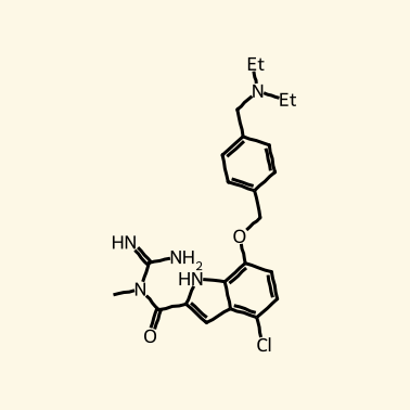 CCN(CC)Cc1ccc(COc2ccc(Cl)c3cc(C(=O)N(C)C(=N)N)[nH]c23)cc1